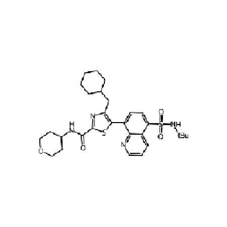 CC(C)(C)NS(=O)(=O)c1ccc(-c2sc(C(=O)NC3CCOCC3)nc2CC2CCCCC2)c2ncccc12